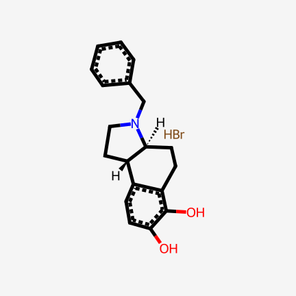 Br.Oc1ccc2c(c1O)CC[C@H]1[C@H]2CCN1Cc1ccccc1